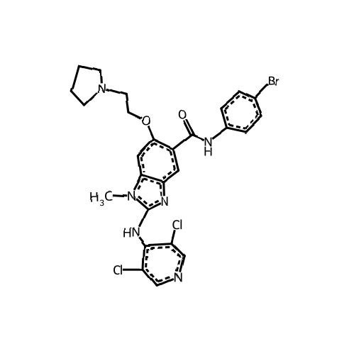 Cn1c(Nc2c(Cl)cncc2Cl)nc2cc(C(=O)Nc3ccc(Br)cc3)c(OCCN3CCCC3)cc21